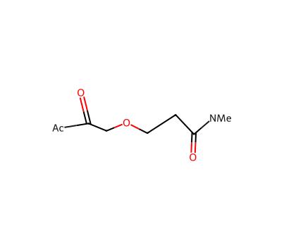 CNC(=O)CCOCC(=O)C(C)=O